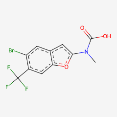 CN(C(=O)O)c1cc2cc(Br)c(C(F)(F)F)cc2o1